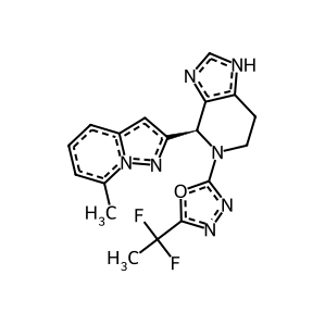 Cc1cccc2cc([C@H]3c4nc[nH]c4CCN3c3nnc(C(C)(F)F)o3)nn12